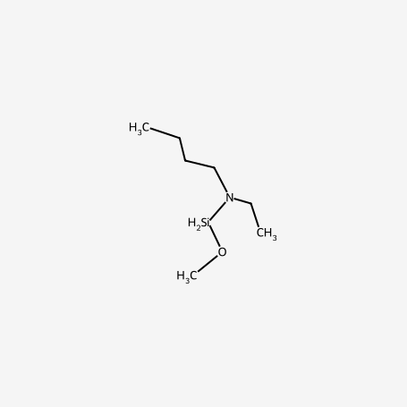 CCCCN(CC)[SiH2]OC